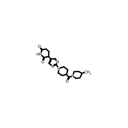 CC1CCN(C(=O)C2CCN(c3ncc(C4CCC(=O)NC4=O)cn3)CC2)CC1